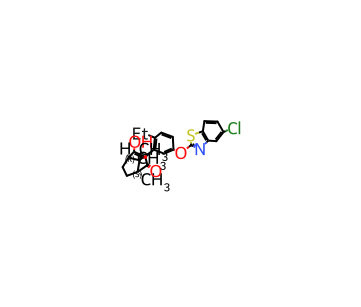 CCc1ccc(Oc2nc3cc(Cl)ccc3s2)cc1C1=C(O)[C@@H]2CC[C@](C)(C1=O)C2(C)C